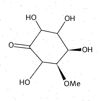 CO[C@H]1C(O)C(=O)C(O)C(O)[C@H]1O